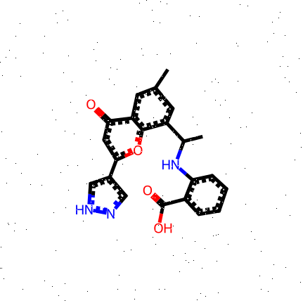 Cc1cc(C(C)Nc2ccccc2C(=O)O)c2oc(-c3cn[nH]c3)cc(=O)c2c1